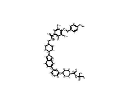 COc1ccc(COc2c(F)cc(C(=O)NCC3CCC(n4cc5ccc(-c6cncc(N7CCN(C(=O)OC(C)(C)C)CC7)n6)cc5n4)CC3)c(F)c2F)cc1